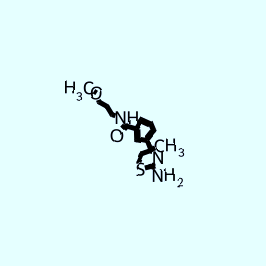 COCCCNC(=O)c1cccc(C2(C)CCSC(N)=N2)c1